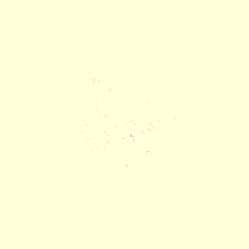 Cc1ccc(N(c2cc(N(c3ccc(C)cc3C)c3cccc4c3oc3ccccc34)c3ccc4cc(C(C)(C)C)cc5ccc2c3c54)c2cccc3c2oc2ccccc23)c(C)c1